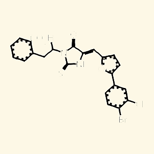 O=C(O)C(Cc1ccccc1)N1C(=O)C(=Cc2ccc(-c3ccc(Br)c(Cl)c3)o2)NC1=S